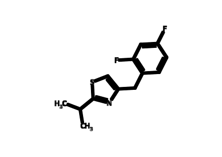 CC(C)c1nc(Cc2ccc(F)cc2F)cs1